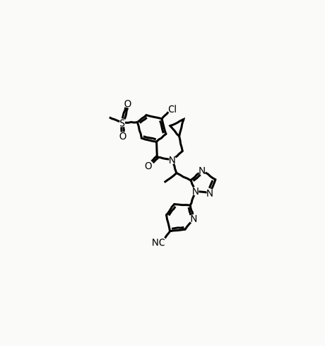 CC(c1ncnn1-c1ccc(C#N)cn1)N(CC1CC1)C(=O)c1cc(Cl)cc(S(C)(=O)=O)c1